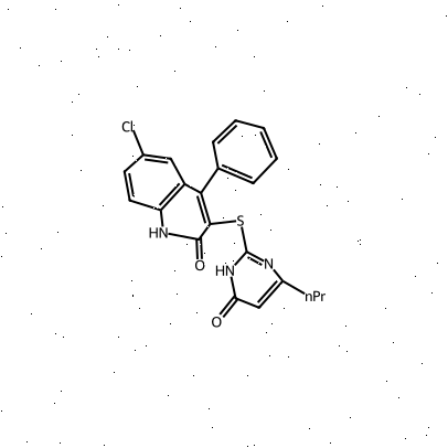 CCCc1cc(=O)[nH]c(Sc2c(-c3ccccc3)c3cc(Cl)ccc3[nH]c2=O)n1